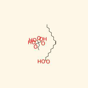 CCCC(C(=O)O)(C(=O)O)C(=O)O.CCCCCCCC/C=C\CCCCCCCC(=O)O